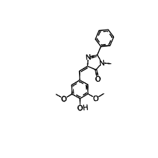 COc1cc(/C=C2/N=C(c3ccccc3)N(C)C2=O)cc(OC)c1O